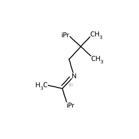 C/C(=N\CC(C)(C)C(C)C)C(C)C